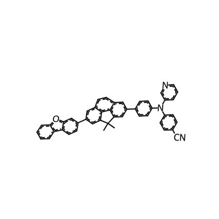 CC1(C)c2cc(-c3ccc(N(c4ccc(C#N)cc4)c4cccnc4)cc3)cc3ccc4cc(-c5ccc6c(c5)oc5ccccc56)cc1c4c23